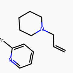 C=CCN1CCCCC1.CC(C)c1ccccn1